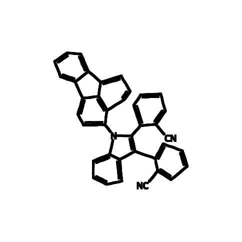 N#Cc1ccccc1-c1c(-c2ccccc2C#N)n(-c2ccc3c4c(cccc24)-c2ccccc2-3)c2ccccc12